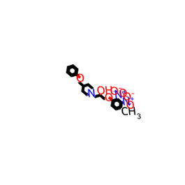 Cc1ccc(OCC(O)CN2CCC(COc3ccccc3)CC2)c([N+](=O)[O-])c1[N+](=O)[O-]